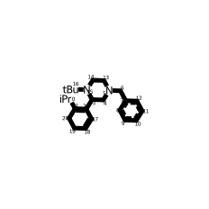 CC(C)C1=C(C2CN(Cc3ccccc3)CCN2C(C)(C)C)C=CCC1